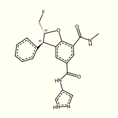 CNC(=O)c1cc(C(=O)Nc2cn[nH]c2)cc2c1O[C@@H](CF)[C@@H]2c1ccccc1